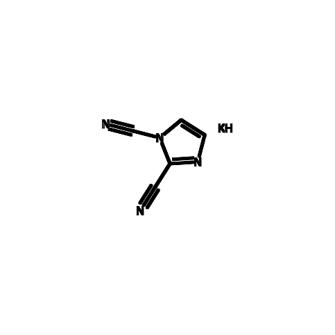 N#Cc1nccn1C#N.[KH]